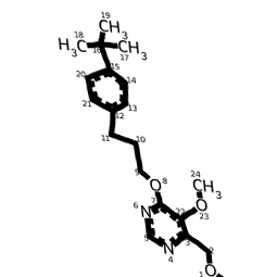 COCc1ncnc(OCCCc2ccc(C(C)(C)C)cc2)c1OC